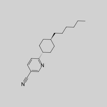 CCCCCC[C@H]1CC[C@H](c2ccc(C#N)cn2)CC1